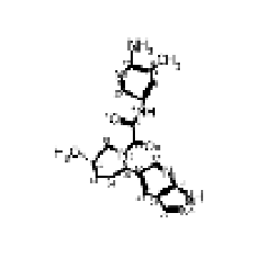 Cc1cc(NC(=O)C(=O)N2C[C@@H](C)CC[C@@H]2c2cnc3[nH]ncc3c2)cnc1N